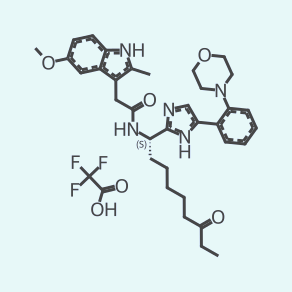 CCC(=O)CCCCC[C@H](NC(=O)Cc1c(C)[nH]c2ccc(OC)cc12)c1ncc(-c2ccccc2N2CCOCC2)[nH]1.O=C(O)C(F)(F)F